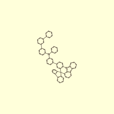 c1ccc(-c2cccc(-c3cccc(N(c4ccccc4)c4cccc(-c5ccc6c(c5)C5(c7ccccc7-c7ccccc75)c5cccc7c8ccccc8n-6c57)c4)c3)c2)cc1